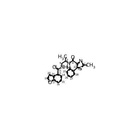 Cc1nc(C(=O)N[C@H](C)CNC(=O)c2cccc3occc23)c(-c2ccccc2)s1